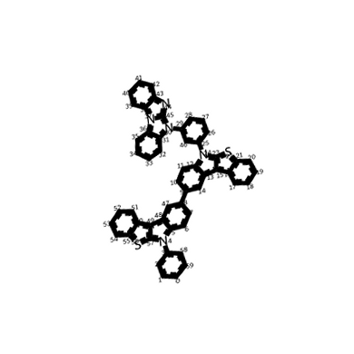 c1ccc(-n2c3ccc(-c4ccc5c(c4)c4c6ccccc6sc4n5-c4cccc(-n5c6ccccc6n6c7ccccc7nc56)c4)cc3c3c4ccccc4sc32)cc1